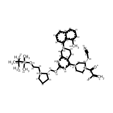 C=C(F)C(=O)N1CCN(c2nc(OC[C@@H]3CCCN3CCO[Si](C)(C)C(C)(C)C)nc3c2CCN(c2cccc4cccc(C)c24)C3)C[C@@H]1CC#N